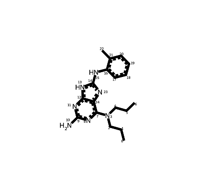 CCCN(CCC)c1nc(N)nc2[nH]c(Nc3ccccc3C)nc12